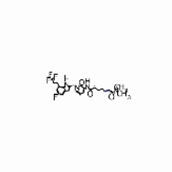 CN(C)C(=O)/C=C/CC[CH]C(=O)Nc1cccn(Cc2cc3cc(F)cc(CCC(F)(F)F)c3[nH]2)c1=O